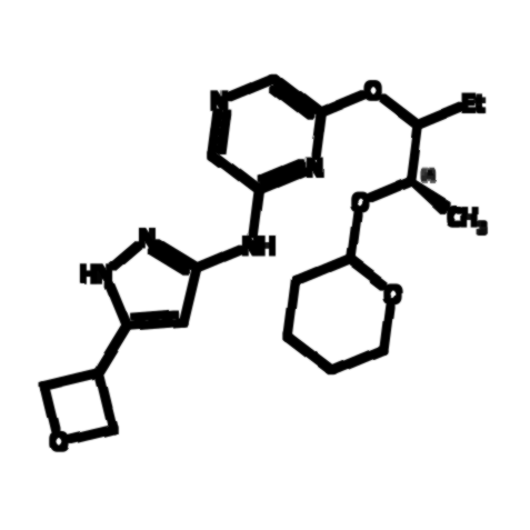 CCC(Oc1cncc(Nc2cc(C3COC3)[nH]n2)n1)[C@@H](C)OC1CCCCO1